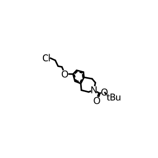 CC(C)(C)OC(=O)N1CCc2ccc(OCCCCl)cc2CC1